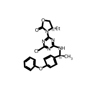 CC[C@H]1COC(=O)N1c1nc(Cl)nc(N[C@@H](C)c2ccc(Oc3ccccc3)cc2)n1